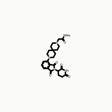 CNC(=O)CN1CCC2(CC1)CCN(c1cccc3c1C(=O)N(C1CCC(=O)NC1=O)C3=O)CC2